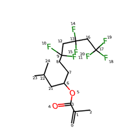 C=C(C)C(=O)OC(CCC(F)(F)CC(F)(F)CC(F)(F)F)CC(C)C